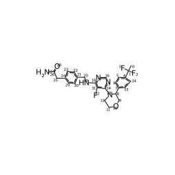 CC(F)(F)c1ccc(C2COCCN2c2ncnc(NCc3ccc(CC(N)=O)cc3)c2F)cc1